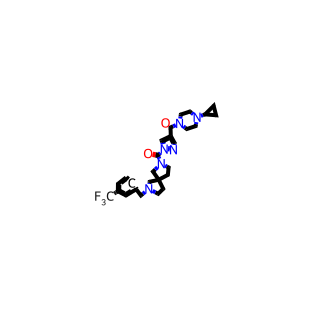 O=C(c1cnn(C(=O)N2CCC3(CCN(Cc4cccc(C(F)(F)F)c4)C3)C2)c1)N1CCN(C2CC2)CC1